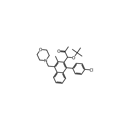 CC(=O)C(OC(C)(C)C)c1c(C)c(CN2CCOCC2)c2ccccc2c1-c1ccc(Cl)cc1